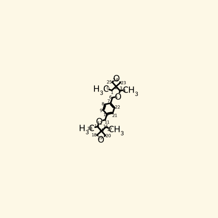 CCC1(C(C)OCc2ccc(COC(C)C3(CC)COC3)cc2)COC1